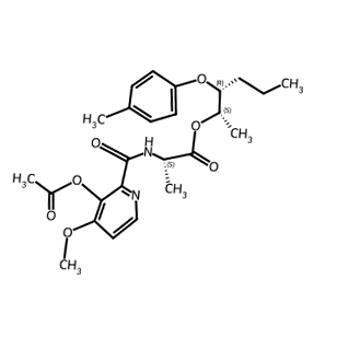 CCC[C@@H](Oc1ccc(C)cc1)[C@H](C)OC(=O)[C@H](C)NC(=O)c1nccc(OC)c1OC(C)=O